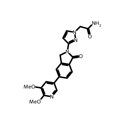 COc1cc(-c2ccc3c(c2)CN(c2ccn(CC(N)=O)n2)C3=O)cnc1OC